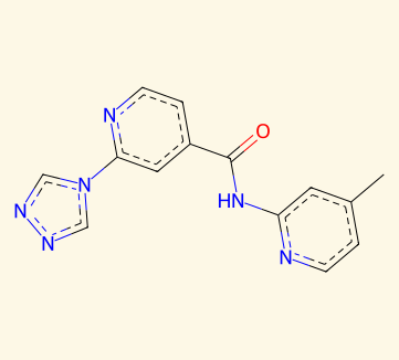 Cc1ccnc(NC(=O)c2ccnc(-n3cnnc3)c2)c1